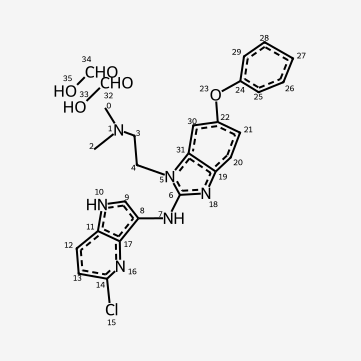 CN(C)CCn1c(Nc2c[nH]c3ccc(Cl)nc23)nc2ccc(Oc3ccccc3)cc21.O=CO.O=CO